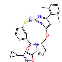 Cc1cccc(C)c1-c1cc2nc(n1)NSc1cccc(c1)C(=O)N(Cc1cc(C3CC3)no1)[C@H](CC(C)(C)C)CO2